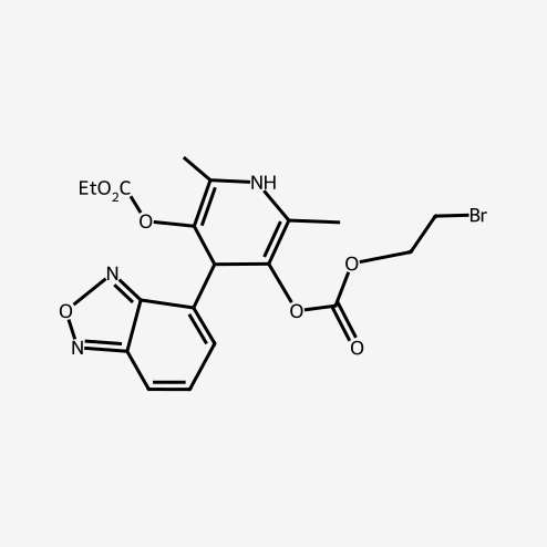 CCOC(=O)OC1=C(C)NC(C)=C(OC(=O)OCCBr)C1c1cccc2nonc12